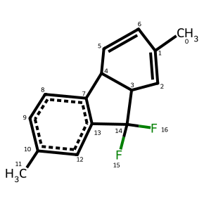 CC1=CC2C(C=C1)c1ccc(C)cc1C2(F)F